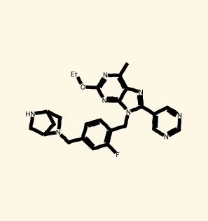 CCOc1nc(C)c2nc(-c3cncnc3)n(Cc3ccc(CN4CC5CC4CN5)cc3F)c2n1